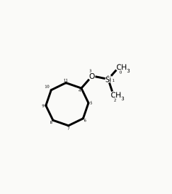 C[Si](C)OC1CCCCCCC1